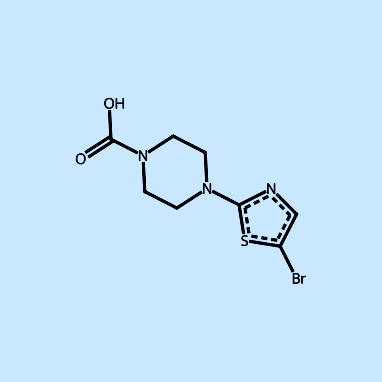 O=C(O)N1CCN(c2ncc(Br)s2)CC1